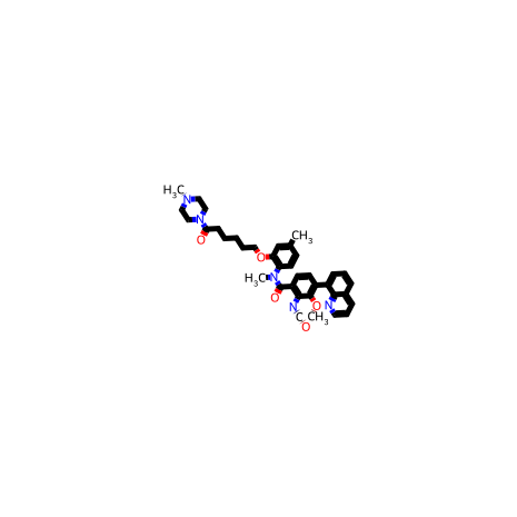 COc1c(-c2cccc3cccnc23)ccc(C(=O)N(C)c2ccc(C)cc2OCCCCCC(=O)N2CCN(C)CC2)c1N=C=O